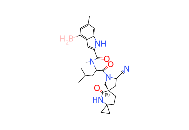 Bc1cc(C)cc2[nH]c(C(=O)N(C)C(CC(C)C)C(=O)N3C[C@]4(CCC5(CC5)NC4=O)CC3C#N)cc12